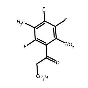 Cc1c(F)c(F)c([N+](=O)[O-])c(C(=O)CC(=O)O)c1F